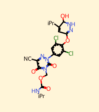 CC(C)NC(=O)OCn1c(=O)c(C#N)nn(-c2cc(Cl)c(OC3=NNC(O)C(C(C)C)=C3)c(Cl)c2)c1=O